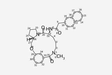 CN1CCC[C@H](NC(=O)Cc2ccc3ccccc3c2)C(=O)N2CCC[C@H]2COc2cccc(c2)C1=O